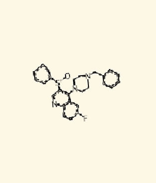 [O-][S+](c1ccccc1)c1cnc2ccc(F)cc2c1N1CCN(Cc2ccccc2)CC1